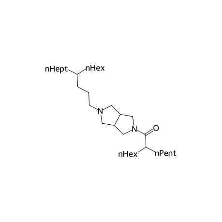 CCCCCCCC(CCCCCC)CCCN1CC2CN(C(=O)C(CCCCC)CCCCCC)CC2C1